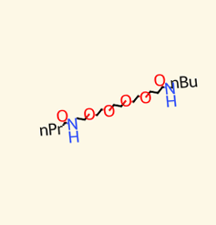 CCCCNC(=O)CCOCCOCCOCCOCCNC(=O)CCC